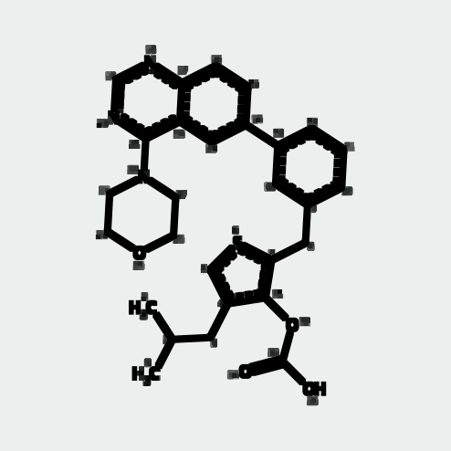 CC(C)Cc1csc(Cc2cccc(-c3ccc4ncnc(N5CCOCC5)c4c3)c2)c1OC(=O)O